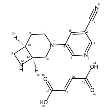 N#Cc1cncc(N2CC[C@@H]3CN[C@@H]3C2)c1.O=C(O)C=CC(=O)O